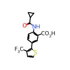 O=C(O)c1cc(-c2sccc2C(F)(F)F)ccc1NC(=O)C1CC1